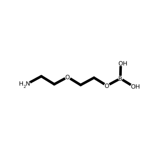 NCCOCCOB(O)O